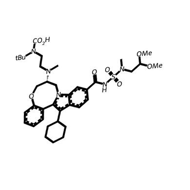 COC(CN(C)S(=O)(=O)NC(=O)c1ccc2c(C3CCCCC3)c3n(c2c1)C[C@@H](N(C)CCN(C(=O)O)C(C)(C)C)COc1ccccc1-3)OC